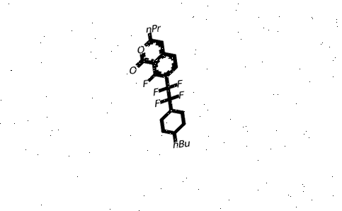 CCCCC1CCC(C(F)(F)C(F)(F)c2ccc3cc(CCC)oc(=O)c3c2F)CC1